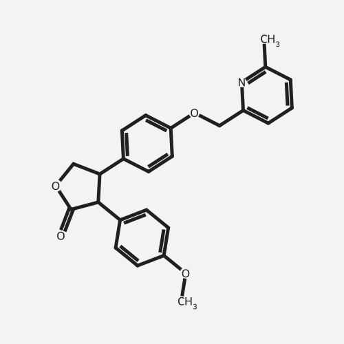 COc1ccc(C2C(=O)OCC2c2ccc(OCc3cccc(C)n3)cc2)cc1